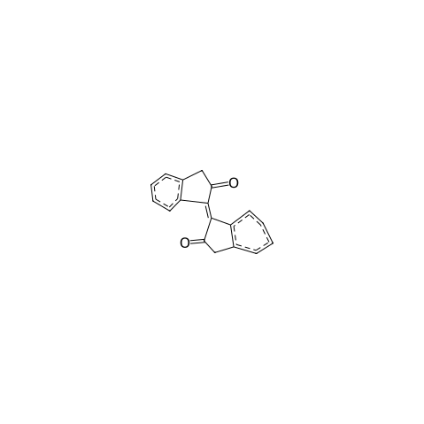 O=C1Cc2ccccc2/C1=C1\C(=O)Cc2ccccc21